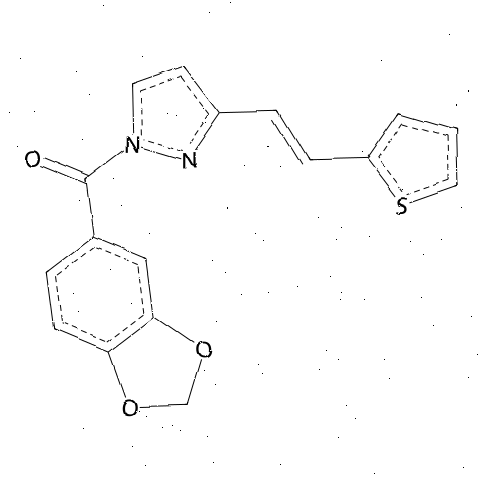 O=C(c1ccc2c(c1)OCO2)n1ccc(C=Cc2cccs2)n1